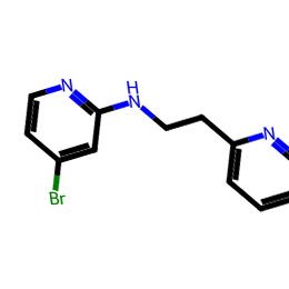 Brc1ccnc(NCCc2ccccn2)c1